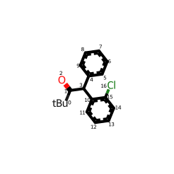 CC(C)(C)C(=O)C(c1ccccc1)c1ccccc1Cl